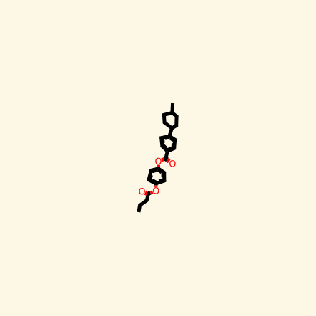 CCCC(=O)Oc1ccc(OC(=O)c2ccc(C3CCC(C)CC3)cc2)cc1